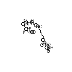 O=C1CCC(N2Cc3cc(CCCCCCC(=O)N4CCC(n5cc(-c6cnc7cccc(-c8cc(F)c(CN9CCOCC9)c(F)c8)c7n6)cn5)CC4)ccc3C2=O)C(=O)N1